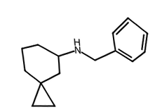 c1ccc(CNC2CCCC3(CC3)C2)cc1